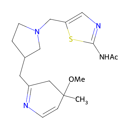 COC1(C)C=CN=C(CC2CCN(Cc3cnc(NC(C)=O)s3)C2)C1